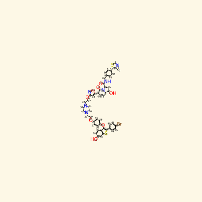 Cc1ncsc1-c1ccc(CNC(=O)C2CC(O)CN2C(=O)C(c2cc(OCCN3CCN(CCOc4ccc(Oc5c(-c6ccc(Br)cc6)sc6cc(O)ccc56)cc4)CC3)no2)C(C)C)cc1